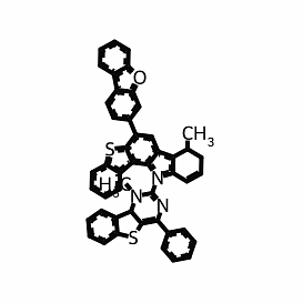 CC1CC=Cc2c1c1cc(-c3ccc4c(c3)oc3ccccc34)c3sc4ccccc4c3c1n2C1=NC(c2ccccc2)=C2Sc3ccccc3C2N1C